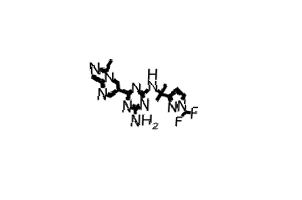 Cc1ncc2ncc(-c3nc(N)nc(NC(C)(C)c4ccn(C(F)F)n4)n3)cn12